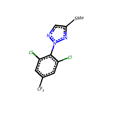 CSc1cnn(-c2c(Cl)cc(C(F)(F)F)cc2Cl)n1